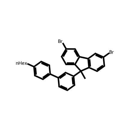 CCCCCCc1ccc(-c2cccc(C3(C)c4ccc(Br)cc4-c4cc(Br)ccc43)c2)cc1